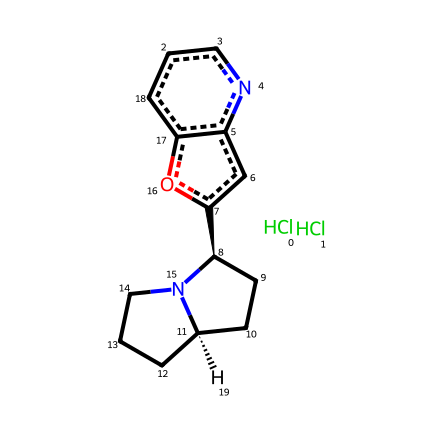 Cl.Cl.c1cnc2cc([C@H]3CC[C@H]4CCCN43)oc2c1